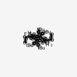 CC(C)(C)c1ccc(Oc2cc3c4c(cc(Oc5ccc(C(C)(C)C)cc5)c5c6c(Oc7ccc(C(C)(C)C)cc7)cc7c8c(cc(Oc9ccc(C(C)(C)C)cc9)c(c2c45)c86)C(=O)N(C(CC(F)(F)F)C(=O)NCCC(=O)OCC2CO2)C7=O)C(=O)N(C(CC(F)(F)F)C(=O)NCCC(=O)OCC2CO2)C3=O)cc1